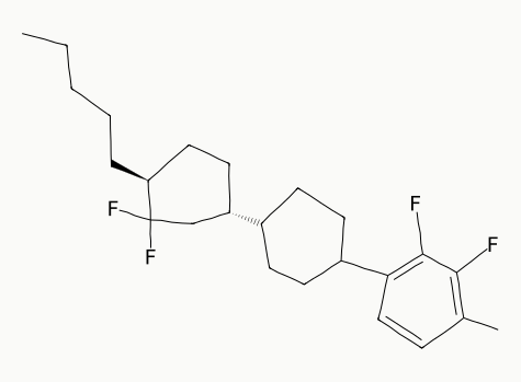 CCCCC[C@H]1CC[C@H](C2CCC(c3ccc(C)c(F)c3F)CC2)CC1(F)F